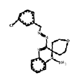 NN1c2ccccc2N=C(N=NCc2cccc(Cl)c2)C12CCOCC2